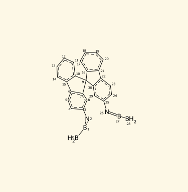 B/B=N/c1ccc2c(c1)C1(c3ccccc3-2)c2ccccc2-c2ccc(/N=B/B)cc21